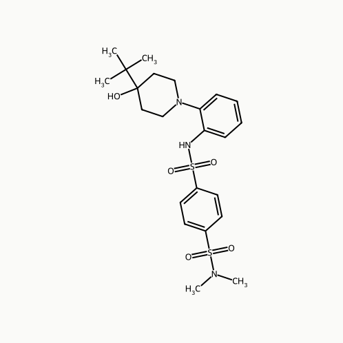 CN(C)S(=O)(=O)c1ccc(S(=O)(=O)Nc2ccccc2N2CCC(O)(C(C)(C)C)CC2)cc1